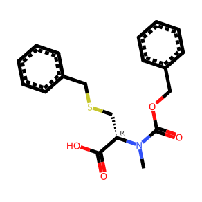 CN(C(=O)OCc1ccccc1)[C@@H](CSCc1ccccc1)C(=O)O